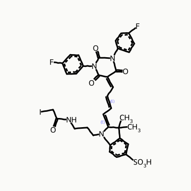 CC1(C)/C(=C\C=C\C=C2C(=O)N(c3ccc(F)cc3)C(=O)N(c3ccc(F)cc3)C2=O)N(CCCNC(=O)CI)c2ccc(S(=O)(=O)O)cc21